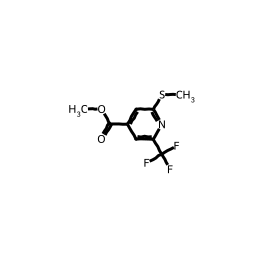 COC(=O)c1cc(SC)nc(C(F)(F)F)c1